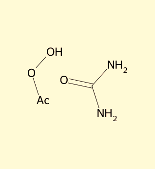 CC(=O)OO.NC(N)=O